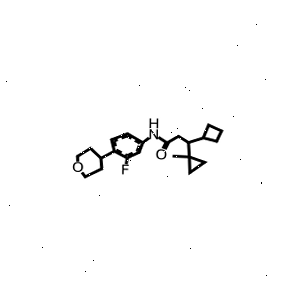 CC1(C(CC(=O)Nc2ccc(C3CCOCC3)c(F)c2)C2CCC2)CC1